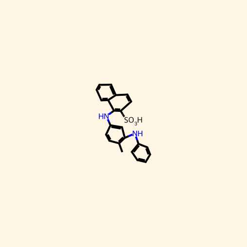 Cc1ccc(Nc2c(S(=O)(=O)O)ccc3ccccc23)cc1Nc1ccccc1